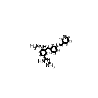 N=C(/N=C\N)c1ccc(NN)c(Cc2cccc(OCc3cccnc3)c2)c1